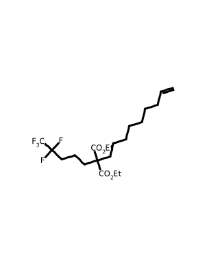 C=CCCCCCCCC(CCCC(F)(F)C(F)(F)F)(C(=O)OCC)C(=O)OCC